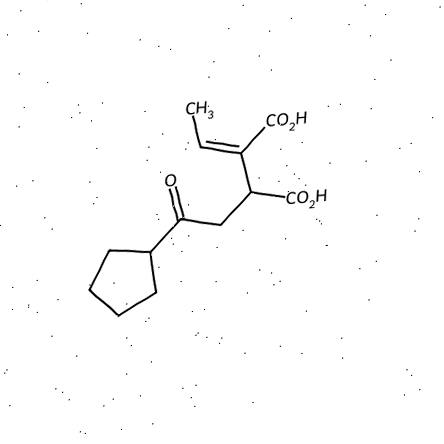 CC=C(C(=O)O)C(CC(=O)C1CCCC1)C(=O)O